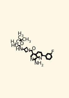 CC(C)(C)OC(O)NC1CN(C(=O)c2cnc(N)c3nc(-c4cccc(F)c4)ccc23)C1